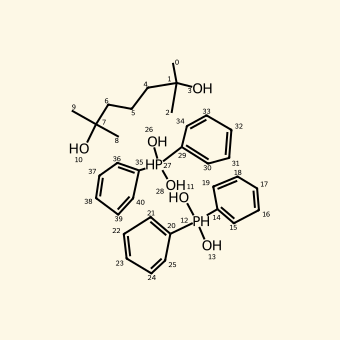 CC(C)(O)CCCC(C)(C)O.O[PH](O)(c1ccccc1)c1ccccc1.O[PH](O)(c1ccccc1)c1ccccc1